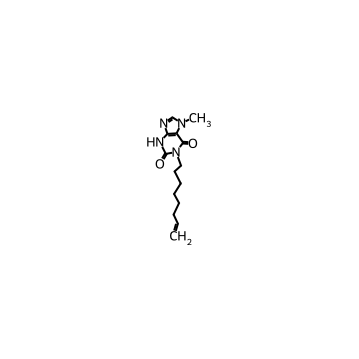 C=CCCCCCCn1c(=O)[nH]c2ncn(C)c2c1=O